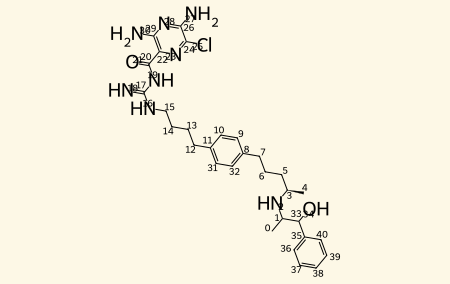 CC(N[C@H](C)CCCc1ccc(CCCCNC(=N)NC(=O)c2nc(Cl)c(N)nc2N)cc1)C(O)c1ccccc1